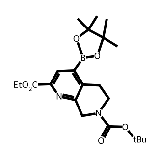 CCOC(=O)c1cc(B2OC(C)(C)C(C)(C)O2)c2c(n1)CN(C(=O)OC(C)(C)C)CC2